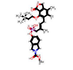 CCc1c(C)c2c(c(OCC[Si](C)(C)C)c1C/C=C(\C)CP(=O)(O)Oc1ccc3c(c1)CN(C(=O)OC(C)(C)C)C3)C(=O)OC2